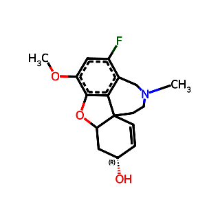 COc1cc(F)c2c3c1OC1C[C@@H](O)C=CC31CCN(C)C2